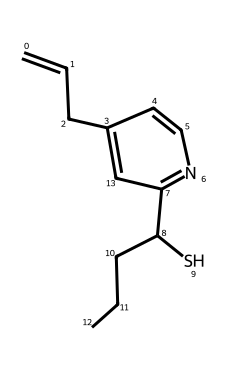 C=CCc1ccnc(C(S)CCC)c1